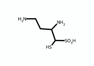 NCCC(N)C(S)S(=O)(=O)O